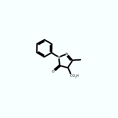 CC1=NN(c2ccccc2)C(=O)C1C(=O)O